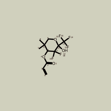 C=CC(=O)OC1C(C)(C)COC(O)(C(F)(F)F)C1(F)F